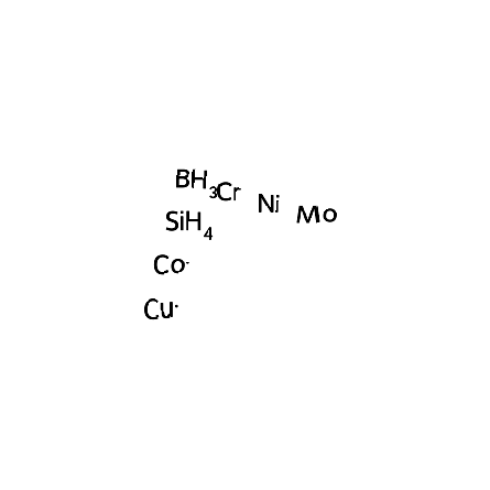 B.[Co].[Cr].[Cu].[Mo].[Ni].[SiH4]